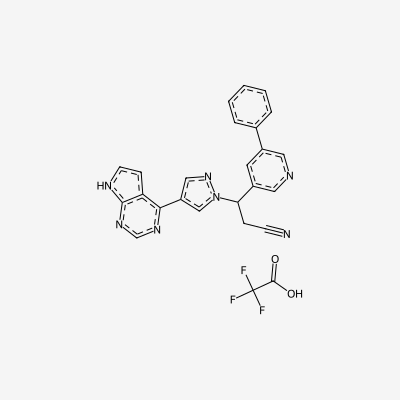 N#CCC(c1cncc(-c2ccccc2)c1)n1cc(-c2ncnc3[nH]ccc23)cn1.O=C(O)C(F)(F)F